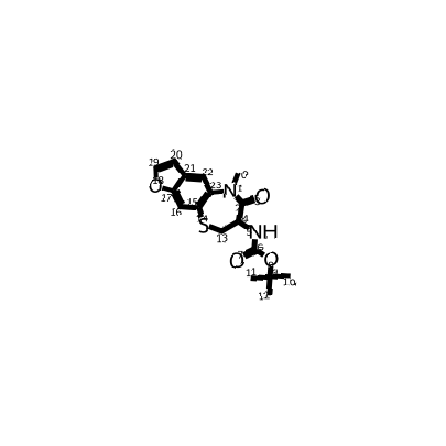 CN1C(=O)C(NC(=O)OC(C)(C)C)CSc2cc3occc3cc21